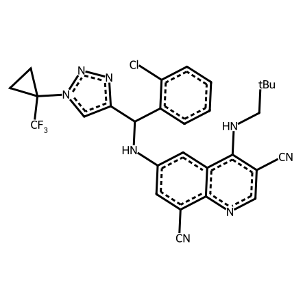 CC(C)(C)CNc1c(C#N)cnc2c(C#N)cc(NC(c3cn(C4(C(F)(F)F)CC4)nn3)c3ccccc3Cl)cc12